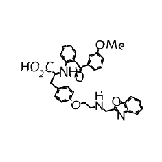 COc1cccc(C(=O)c2ccccc2NC(Cc2ccc(OCCNCc3nc4ccccc4o3)cc2)C(=O)O)c1